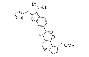 CCC(CC)n1c(Cc2cccs2)nc2cc(C(=O)N[C@@H](CC(C)C)C(=O)N3CCC[C@H]3COC)ccc21